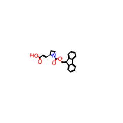 O=C(O)/C=C/[C@H]1CCN1C(=O)OCC1c2ccccc2-c2ccccc21